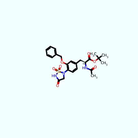 CC(=O)N[C@@H](Cc1ccc(N2CC(=O)NS2(=O)=O)c(OCc2ccccc2)c1)C(=O)OC(C)(C)C